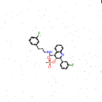 CS(=O)(=O)Oc1c(-c2cccc(F)c2)nc2ccccc2c1C(=O)NCCCc1cccc(F)c1